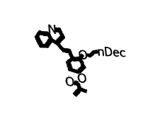 C=C(C)C(=O)Oc1ccc(C=Cc2ccnc3ccccc23)c(OCCCCCCCCCCCC)c1